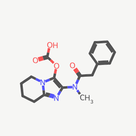 CN(C(=O)Cc1ccccc1)c1nc2n(c1OC(=O)O)CCCC2